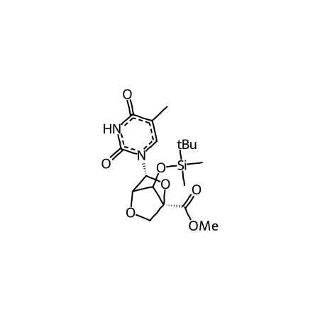 COC(=O)[C@]12COC(C1O[Si](C)(C)C(C)(C)C)[C@H](n1cc(C)c(=O)[nH]c1=O)O2